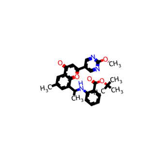 COc1ncc(-c2cc(=O)c3cc(C)cc(C(C)Nc4ccccc4C(=O)OC(C)(C)C)c3o2)cn1